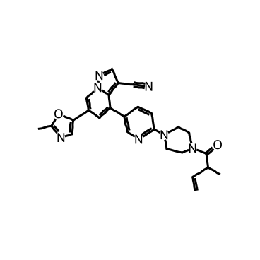 C=CC(C)C(=O)N1CCN(c2ccc(-c3cc(-c4cnc(C)o4)cn4ncc(C#N)c34)cn2)CC1